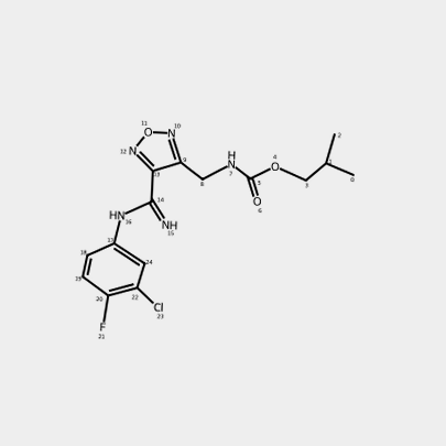 CC(C)COC(=O)NCc1nonc1C(=N)Nc1ccc(F)c(Cl)c1